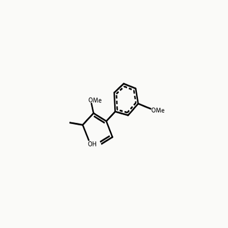 C=C/C(=C(/OC)C(C)O)c1cccc(OC)c1